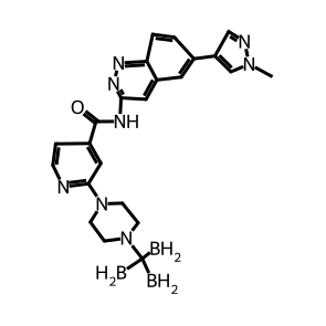 BC(B)(B)N1CCN(c2cc(C(=O)Nc3cc4cc(-c5cnn(C)c5)ccc4nn3)ccn2)CC1